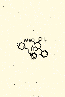 C=C(CC(O)c1ccccc1-c1cnn(CCN2CCOCC2)c1)C(=O)OC